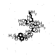 CC(C)C(NC(=O)C(CS)NC(=O)CNS(=O)(=O)c1cccc2c(N(C)C)cccc12)C(=O)NC(CCCCN)C(=O)NC(CO)C(=O)O